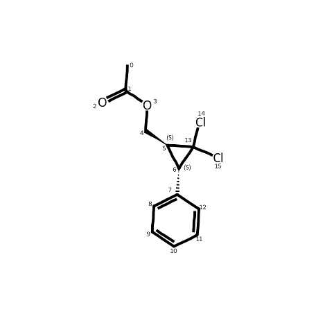 CC(=O)OC[C@@H]1[C@@H](c2ccccc2)C1(Cl)Cl